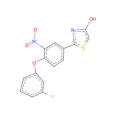 O=[N+]([O-])c1cc(-c2nc(O)cs2)ccc1Oc1cccc(F)c1